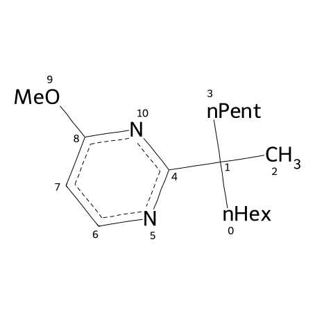 CCCCCCC(C)(CCCCC)c1nccc(OC)n1